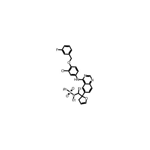 CCC(N(CC)S(=O)(=O)C(C)C)C1(c2ccc3ncnc(Nc4ccc(OCc5cccc(F)c5)c(Cl)c4)c3c2)CC=CO1